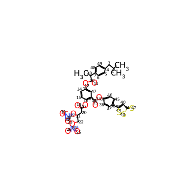 CC(C)Cc1ccc(C(C)C(=O)Oc2ccc(OC(=O)CC(CO[N+](=O)[O-])O[N+](=O)[O-])c(C(=O)Oc3ccc(-c4cc(=S)ss4)cc3)c2)cc1